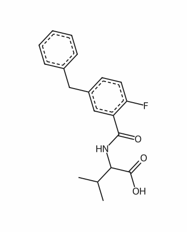 CC(C)C(NC(=O)c1cc(Cc2ccccc2)ccc1F)C(=O)O